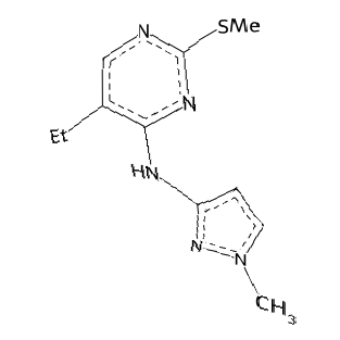 CCc1cnc(SC)nc1Nc1ccn(C)n1